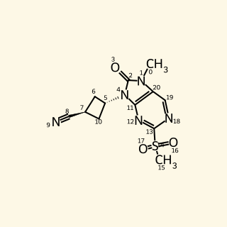 Cn1c(=O)n([C@H]2C[C@H](C#N)C2)c2nc(S(C)(=O)=O)ncc21